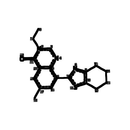 CCn1cnc2c(-c3nc4c(s3)CCCC4)cc(C)cc2c1=O